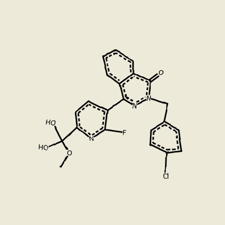 COC(O)(O)c1ccc(-c2nn(Cc3ccc(Cl)cc3)c(=O)c3ccccc23)c(F)n1